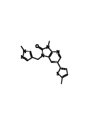 Cc1ccc(-c2cnc3c(c2)n(Cc2cnn(C)c2)c(=O)n3C)s1